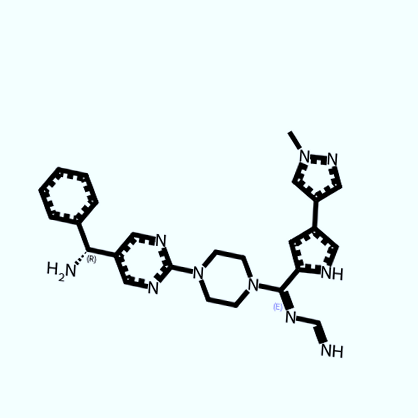 Cn1cc(-c2c[nH]c(/C(=N\C=N)N3CCN(c4ncc([C@H](N)c5ccccc5)cn4)CC3)c2)cn1